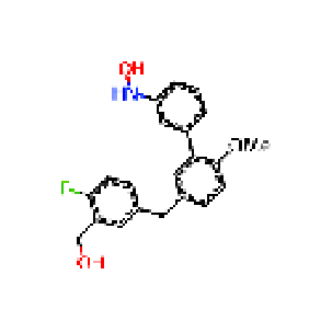 COc1ccc(Cc2ccc(F)c(CO)c2)cc1-c1cccc(NO)c1